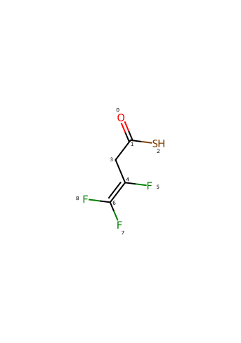 O=C(S)CC(F)=C(F)F